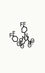 O=[N+]([O-])c1cn(C2CCC(F)(F)CC2)nc1CS(=O)(=O)OC1CCC(F)(F)CC1